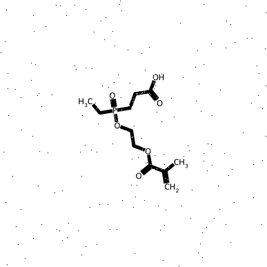 C=C(C)C(=O)OCCOP(=O)(CC)CCC(=O)O